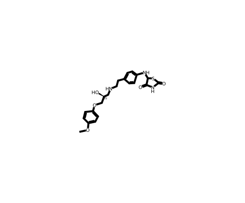 COc1ccc(OC[C@@H](O)CNCCc2ccc(NC3SC(=O)NC3=O)cc2)cc1